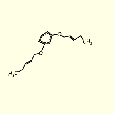 CCC=CCOc1cccc(OCC=CCC)c1